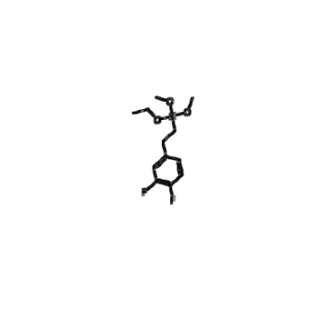 CCO[Si](CCc1ccc(F)c(F)c1)(OC)OC